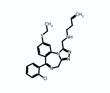 C=CCCNCc1nnc2n1-c1cc(SCC)ccc1C(c1ccccc1Cl)=NC2